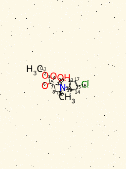 CCOC(=O)C(=O)C1C[C@H](C)N(c2ccc(Cl)cc2)C1O